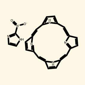 C1=Cc2cc3ccc(cc4nc(cc5ccc(cc1n2)[nH]5)C=C4)[nH]3.O=[N+]([O-])c1ncc[nH]1